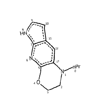 CCCN1CCOc2nc3[nH]ccc3cc21